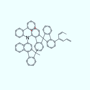 C=C/C=C(\C=C/C)c1cccc2c1-c1ccccc1C21c2ccccc2-c2c(N(c3ccccc3-c3ccccc3)c3cc4c(c5ccccc35)-c3ccccc3C4(C)C)cccc21